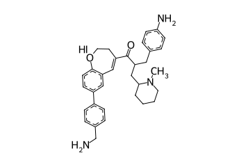 CN1CCCCC1CC(Cc1ccc(N)cc1)C(=O)C1=Cc2cc(-c3ccc(CN)cc3)ccc2OCC1.I